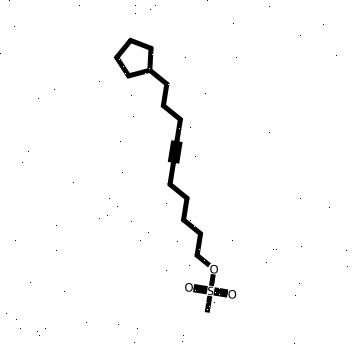 CS(=O)(=O)OCCCCCC#CCCCC1CCCC1